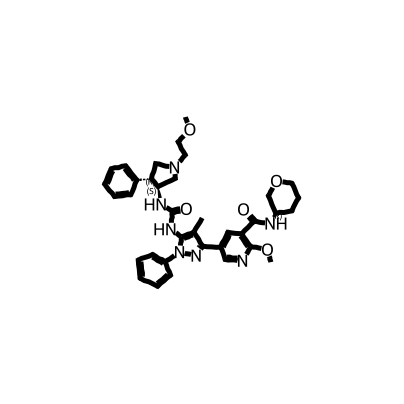 COCCN1C[C@@H](NC(=O)Nc2c(C)c(-c3cnc(OC)c(C(=O)N[C@@H]4CCCOC4)c3)nn2-c2ccccc2)[C@H](c2ccccc2)C1